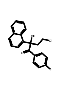 O=C(c1ccc(F)cc1)C(O)(CCCl)c1cccc2ccccc12